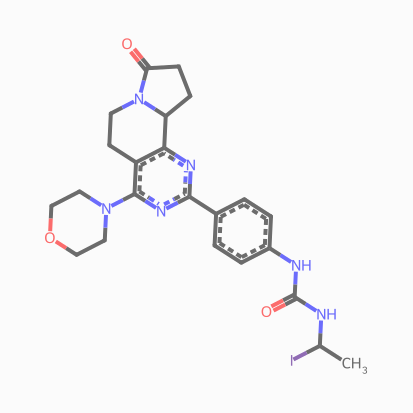 CC(I)NC(=O)Nc1ccc(-c2nc3c(c(N4CCOCC4)n2)CCN2C(=O)CCC32)cc1